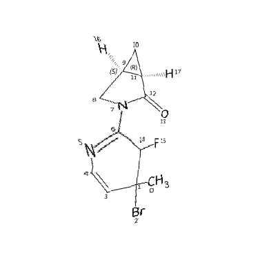 CC1(Br)C=CN=C(N2C[C@H]3C[C@H]3C2=O)C1F